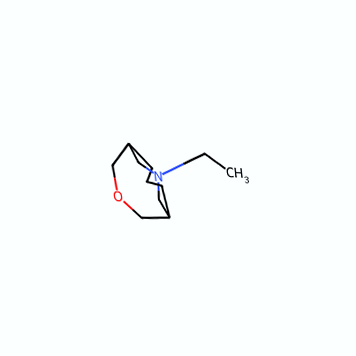 CCN1CC2CCCC(COC2)C1